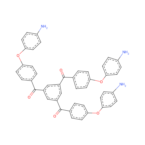 Nc1ccc(Oc2ccc(C(=O)c3cc(C(=O)c4ccc(Oc5ccc(N)cc5)cc4)cc(C(=O)c4ccc(Oc5ccc(N)cc5)cc4)c3)cc2)cc1